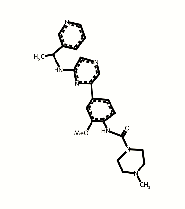 COc1cc(-c2cncc(NC(C)c3cccnc3)n2)ccc1NC(=O)N1CCN(C)CC1